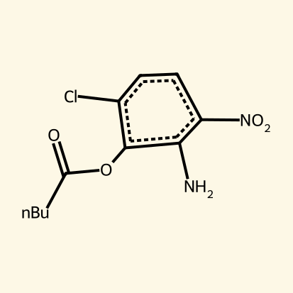 CCCCC(=O)Oc1c(Cl)ccc([N+](=O)[O-])c1N